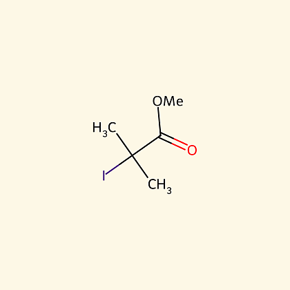 COC(=O)C(C)(C)I